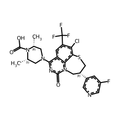 C[C@@H]1CN(c2nc(=O)n3c4c(c(Cl)c(C(F)(F)F)cc24)SC[C@H](c2cncc(F)c2)C3)C[C@H](C)N1C(=O)O